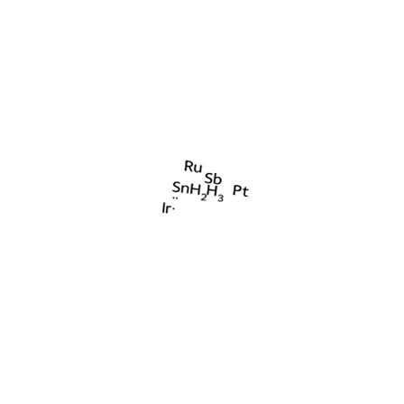 [Ir].[Pt].[Ru].[SbH3].[SnH2]